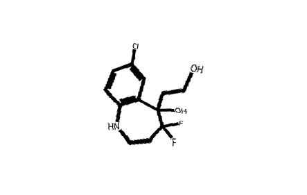 OCCC1(O)c2cc(Cl)ccc2NCCC1(F)F